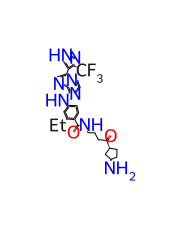 CCc1cc(Nc2nccn3c(-c4c[nH]nc4C(F)(F)F)cnc23)ccc1C(=O)NCCCC(=O)[C@H]1CC[C@@H](N)C1